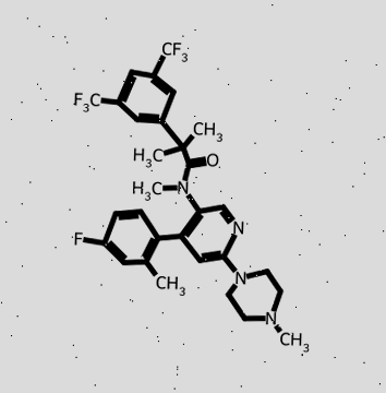 Cc1cc(F)ccc1-c1cc(N2CCN(C)CC2)ncc1N(C)C(=O)C(C)(C)c1cc(C(F)(F)F)cc(C(F)(F)F)c1